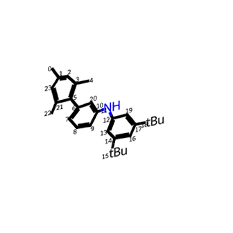 Cc1cc(C)c(-c2cccc(Nc3cc(C(C)(C)C)cc(C(C)(C)C)c3)c2)c(C)c1